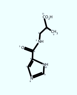 CC(CNC(=O)c1cnc[nH]1)C(=O)O